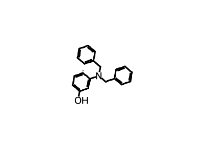 Oc1cc[c]c(N(Cc2ccccc2)Cc2ccccc2)c1